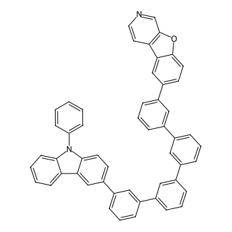 c1ccc(-n2c3ccccc3c3cc(-c4cccc(-c5cccc(-c6cccc(-c7cccc(-c8ccc9oc%10cnccc%10c9c8)c7)c6)c5)c4)ccc32)cc1